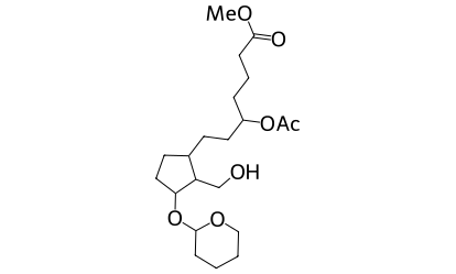 COC(=O)CCCC(CCC1CCC(OC2CCCCO2)C1CO)OC(C)=O